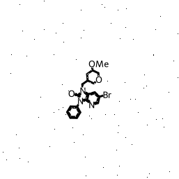 COC1COCC(Cn2c(=O)n(-c3ccccc3)c3ncc(Br)cc32)C1